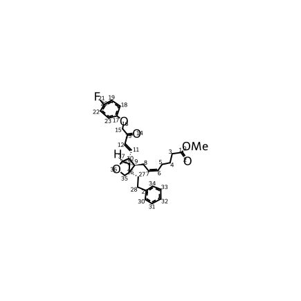 COC(=O)CCC/C=C\C[C@@H]1[C@@H](/C=C/C(=O)COc2ccc(F)cc2)[C@H]2C[C@]1(CCc1ccccc1)CO2